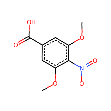 COc1cc(C(=O)O)cc(OC)c1[N+](=O)[O-]